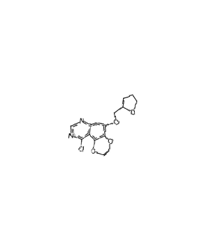 Clc1ncnc2cc(OCC3CCCO3)c3c(c12)OCCO3